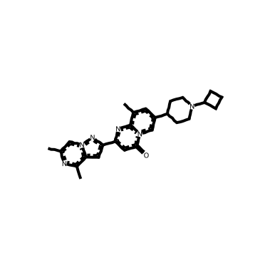 Cc1cn2nc(-c3cc(=O)n4cc(C5CCN(C6CCC6)CC5)cc(C)c4n3)cc2c(C)n1